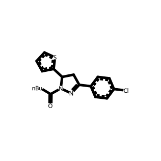 CCCCC(=O)N1N=C(c2ccc(Cl)cc2)CC1c1cccs1